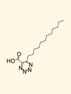 CCCCCCCCCCCCc1nnnnc1C(=O)O